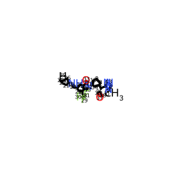 Cn1cnnc1[C@@H](c1cccc(N2Cc3c(cc(CN[C@H]4CC5C[C@H]5C4)cc3C(F)(F)F)C2=O)c1)C1COC1